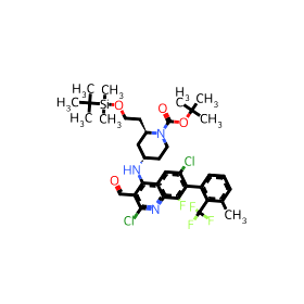 Cc1cccc(-c2c(Cl)cc3c(N[C@H]4CCN(C(=O)OC(C)(C)C)[C@H](CCO[Si](C)(C)C(C)(C)C)C4)c(C=O)c(Cl)nc3c2F)c1C(F)(F)F